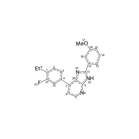 CCc1ccc(-c2ccnc3[nH]c(-c4cccc(OC)c4)nc23)cc1F